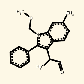 COCn1c(-c2ccccc2)c(C(C)C=O)c2ccc(C)cc21